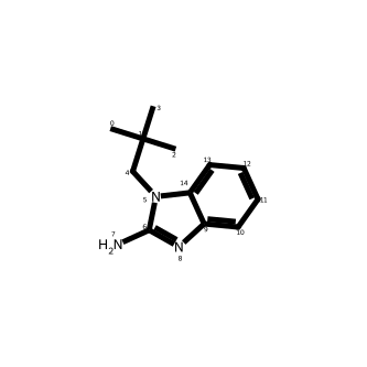 CC(C)(C)Cn1c(N)nc2ccccc21